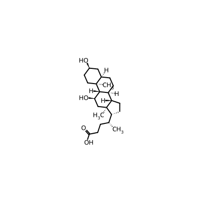 C[C@H](CCC(=O)O)[C@H]1CC[C@H]2[C@@H]3CC[C@@H]4C[C@H](O)CC[C@]4(C)[C@H]3[C@H](O)C[C@]12C